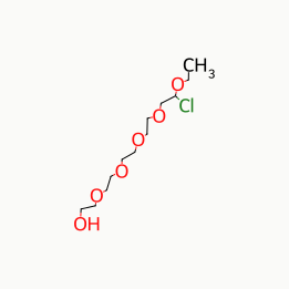 CCOC(Cl)COCCOCCOCCOCCO